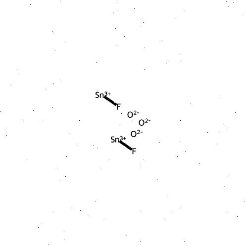 [F][Sn+3].[F][Sn+3].[O-2].[O-2].[O-2]